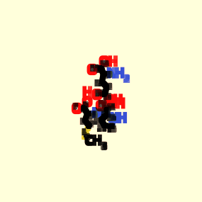 CSCCC(N)C(=O)O.NC(CCC(=O)O)C(=O)O.O=C(O)[C@@H]1CCCN1